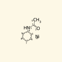 CC(=O)Nc1ccccc1.[Ni]